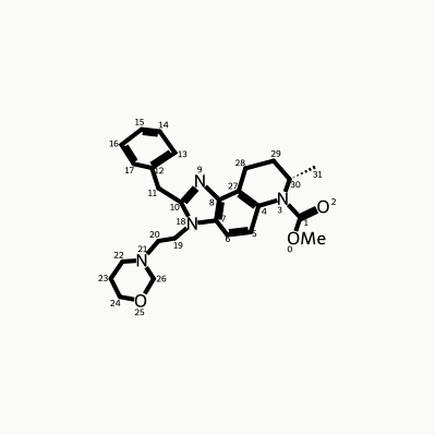 COC(=O)N1c2ccc3c(nc(Cc4ccccc4)n3CCN3CCCOC3)c2CC[C@@H]1C